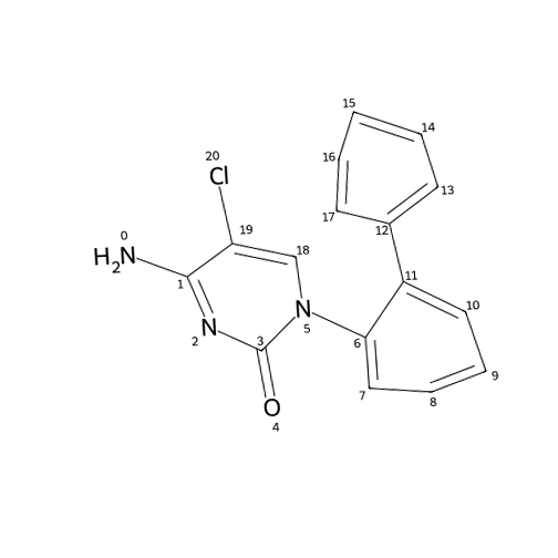 Nc1nc(=O)n(-c2ccccc2-c2ccccc2)cc1Cl